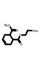 CCCCCCCCCCCCOC(=O)C1CC=CCC1C(=O)OCC(C)C